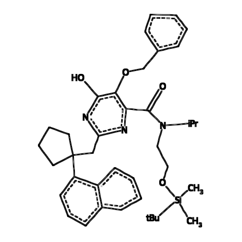 CC(C)N(CCO[Si](C)(C)C(C)(C)C)C(=O)c1nc(CC2(c3cccc4ccccc34)CCCC2)nc(O)c1OCc1ccccc1